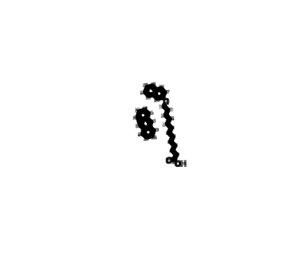 O=C(O)CCCCCCCCCCCCOc1ccc2ccccc2c1.c1ccc2c3c4c-3cccc4cc2c1